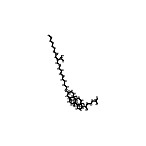 CCCCCCCOCC(COCCCCCCCCO[C@H]1CC[C@@]2(C)C(=CC[C@H]3[C@@H]4CC[C@H](C(C)CCCC(C)C)[C@@]4(C)CC[C@@H]32)C1)N(C)C